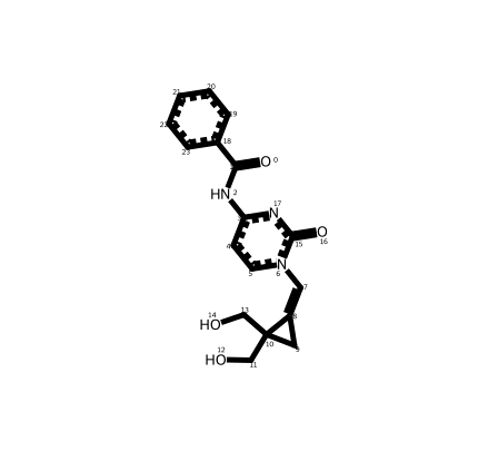 O=C(Nc1ccn(/C=C2/CC2(CO)CO)c(=O)n1)c1ccccc1